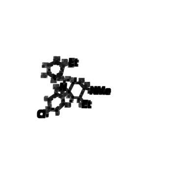 CCC1CC(c2ccc(Cl)cc2)(N(C)C)CCC1NC.CCc1ccccc1